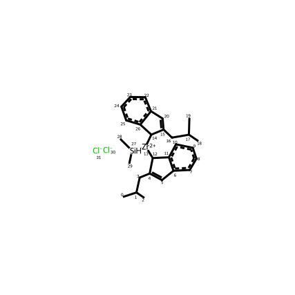 CC(C)CC1=Cc2ccccc2[CH]1[Zr+2]([CH]1C(CC(C)C)=Cc2ccccc21)[SiH](C)C.[Cl-].[Cl-]